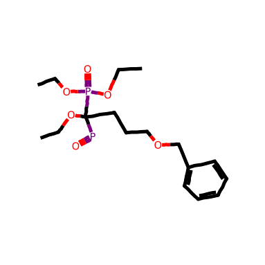 CCOC(CCCOCc1ccccc1)(P=O)P(=O)(OCC)OCC